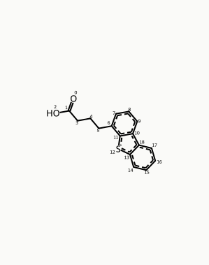 O=C(O)CCCc1cccc2c1sc1ccccc12